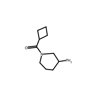 O=C(C1CCC1)N1CCCC(P)C1